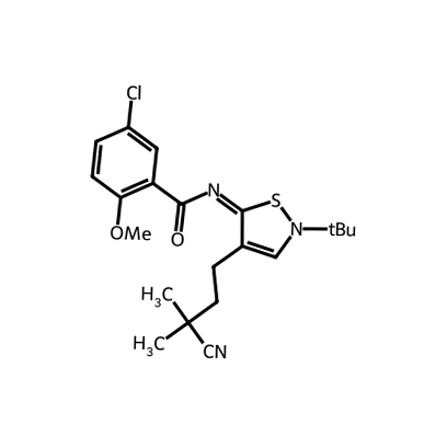 COc1ccc(Cl)cc1C(=O)N=c1sn(C(C)(C)C)cc1CCC(C)(C)C#N